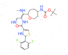 CN/C(=C(\C=N)NC(=O)C1=CSC(c2c(F)cccc2F)N1)C1CCC(NC(=O)OC(C)(C)C)CCO1